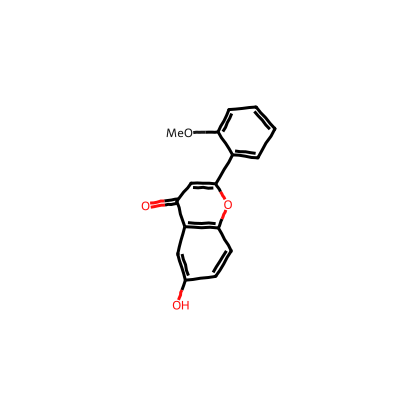 COc1ccccc1-c1cc(=O)c2cc(O)ccc2o1